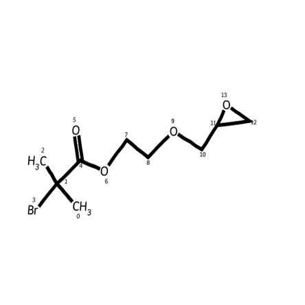 CC(C)(Br)C(=O)OCCOCC1CO1